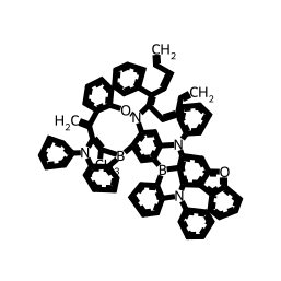 C=C\C=C/C(=C(\C=C/C=C)N1Oc2ccccc2C(=C)C2=C(C)B(c3cc4c(cc31)N(c1ccccc1)c1cc3oc5ccccc5c3c3c1B4c1ccccc1N3c1ccccc1)c1ccccc1N2c1ccccc1)c1ccccc1